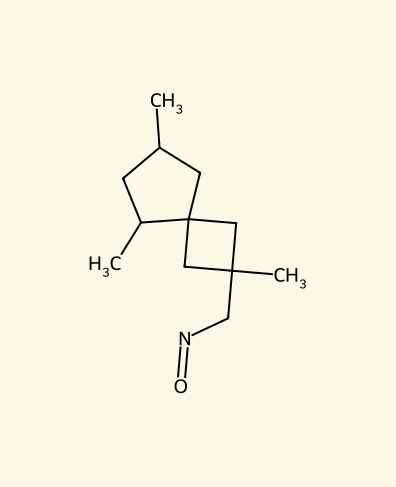 CC1CC(C)C2(C1)CC(C)(CN=O)C2